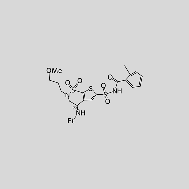 CCN[C@H]1CN(CCCOC)S(=O)(=O)c2sc(S(=O)(=O)NC(=O)c3ccccc3C)cc21